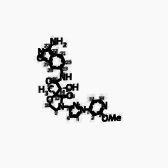 COc1cc(-n2ccc(N3CCO[C@](C)([C@@H](O)C(=O)Nc4ccc5c(N)noc5c4)C3=O)n2)ccn1